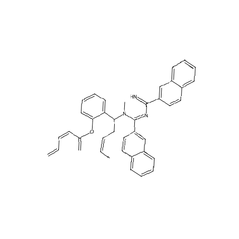 C=C/C=C\C(=C)Oc1ccccc1C(C/C=C\C)N(C)/C(=N\C(=N)c1ccc2ccccc2c1)c1ccc2ccccc2c1